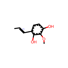 C/C=C/c1ccc(O)c(OC)c1O